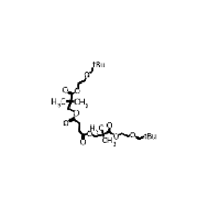 CC(C)(C)COCCOC(=O)C(C)(C)COC(=O)CCC(=O)OCC(C)(C)C(=O)OCCOCC(C)(C)C